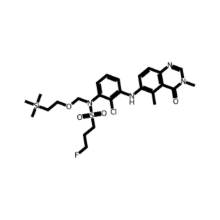 Cc1c(Nc2cccc(N(COCC[Si](C)(C)C)S(=O)(=O)CCCF)c2Cl)ccc2ncn(C)c(=O)c12